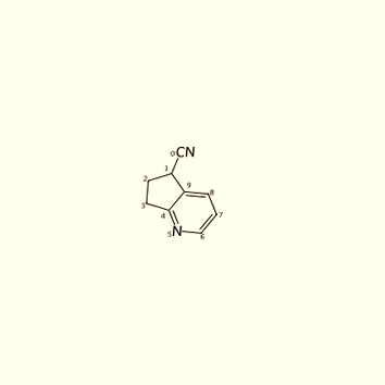 N#CC1CCc2ncccc21